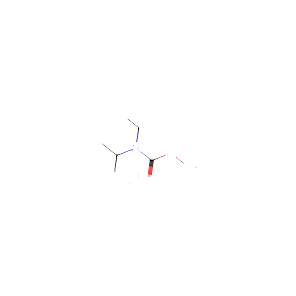 CCOC(=O)CN(C(=O)OC(C)(C)C)C(C)C(=O)O